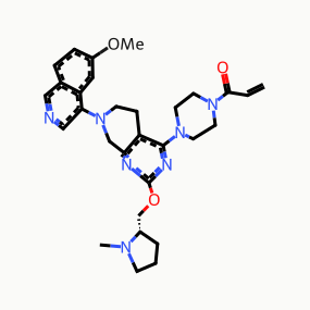 C=CC(=O)N1CCN(c2nc(OC[C@@H]3CCCN3C)nc3c2CCN(c2cncc4ccc(OC)cc24)C3)CC1